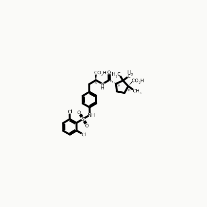 CC1(C)[C@@H](C(=O)N[C@@H](Cc2ccc(NS(=O)(=O)c3c(Cl)cccc3Cl)cc2)C(=O)O)CC[C@@]1(C)C(=O)O